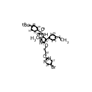 C=Cc1ccc(-c2c(OCCOc3ncc(Br)cn3)nn(C)c2NS(=O)(=O)c2ccc(C(C)(C)C)cc2)cc1